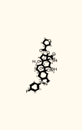 CC12Cc3cnn(-c4ccc(F)cc4)c3C=C1CCC1[C@]2(C)C(O)CC2(C)C(OC(=O)C3CCOC3)(C(=O)S)CC[C@@]12C